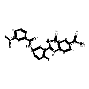 Cc1ccc(NC(=O)c2cccc(N(C)C)c2)cc1-c1nc2ccc(C(N)=O)cc2c(=O)[nH]1